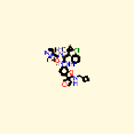 Cn1nccc1C(=O)N[C@H](c1nc2ccc(C3(C(=O)NCC4CCC4)CCOC3)cc2[nH]1)[C@H](c1ccccc1Cl)C1(C)CC1